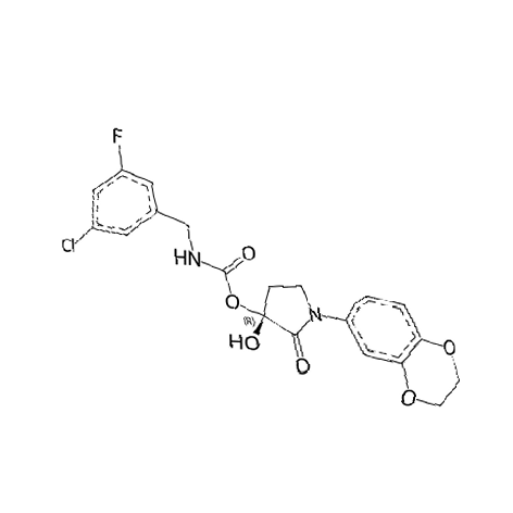 O=C(NCc1cc(F)cc(Cl)c1)O[C@]1(O)CCN(c2ccc3c(c2)OCCO3)C1=O